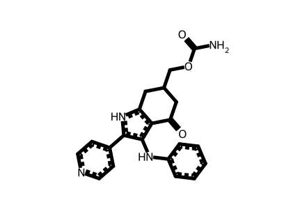 NC(=O)OCC1CC(=O)c2c([nH]c(-c3ccncc3)c2Nc2ccccc2)C1